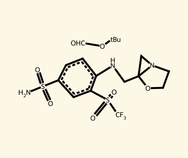 CC(C)(C)OC=O.NS(=O)(=O)c1ccc(NCC23CN2CCO3)c(S(=O)(=O)C(F)(F)F)c1